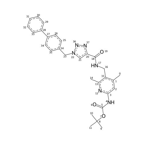 Cc1cc(NC(=O)OC(C)(C)C)nc(C)c1CNC(=O)c1cn(Cc2ccc(-c3ccccc3)cc2)nn1